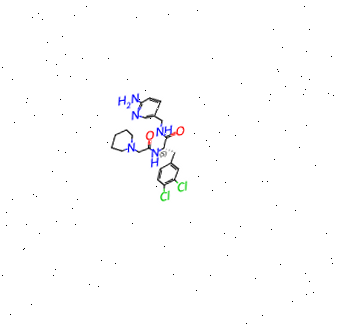 Nc1ccc(CNC(=O)[C@H](Cc2ccc(Cl)c(Cl)c2)NC(=O)CN2CCCCC2)cn1